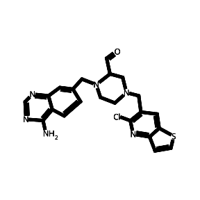 Nc1ncnc2cc(CN3CCN(Cc4cc5sccc5nc4Cl)CC3C=O)ccc12